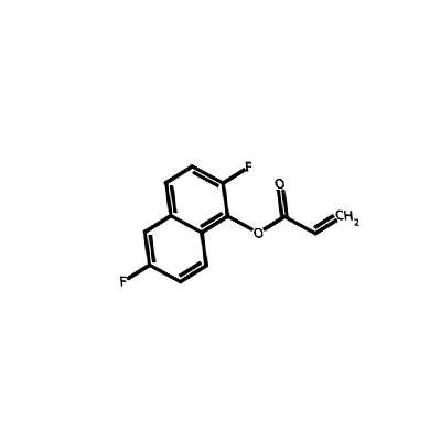 C=CC(=O)Oc1c(F)ccc2cc(F)ccc12